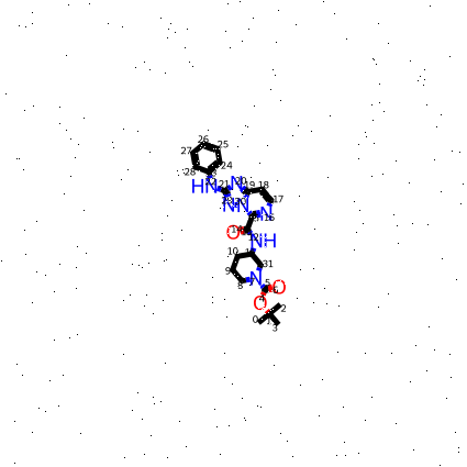 CC(C)(C)OC(=O)N1CCCC(NC(=O)c2nccc3nc(Nc4ccccc4)nn23)C1